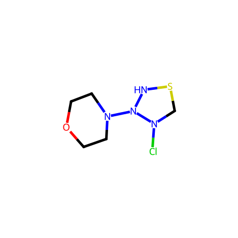 ClN1CSNN1N1CCOCC1